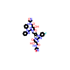 Cn1c(-c2nc3cc(F)ccc3n2C2CC(Cn3c(-c4nc5ccccc5n4-c4ccccc4)nc(C(=O)Nc4cnoc4)c(O)c3=O)C2)nc(C(=O)Nc2cnoc2)c(O)c1=O